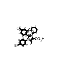 CC1=C(C(=O)O)N(N2CCCCC2)C(c2ccc(Cl)cc2Cl)N1c1ccc(Br)cc1